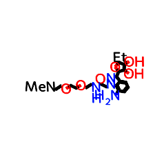 CCC1OC(c2nn(CC(=O)NCCOCCOCCNC)c3c(N)cccc23)C(O)C1O